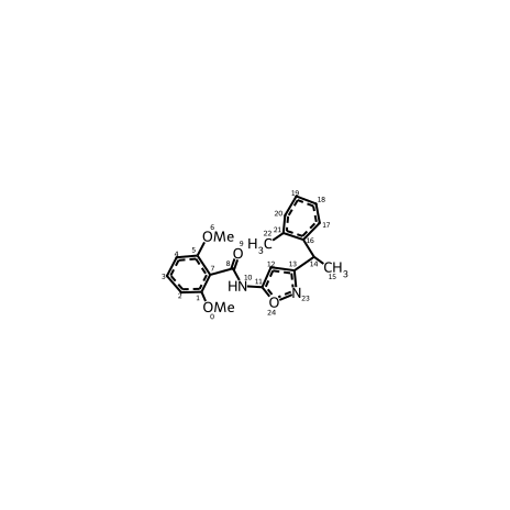 COc1cccc(OC)c1C(=O)Nc1cc(C(C)c2ccccc2C)no1